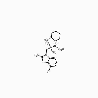 CN1Cc2c(N)cccc2N1CC(C)(C)N(C(=O)O)[C@H]1CCCC[C@H]1N